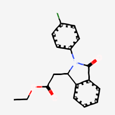 CCOC(=O)CC1c2ccccc2C(=O)N1c1ccc(Cl)cc1